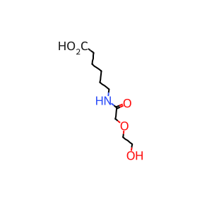 O=C(O)CCCCCNC(=O)COCCO